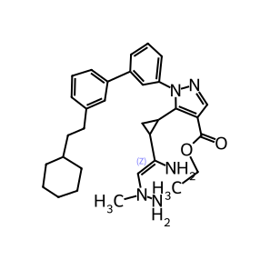 CCOC(=O)c1cnn(-c2cccc(-c3cccc(CCC4CCCCC4)c3)c2)c1C1CC1/C(N)=C/N(C)N